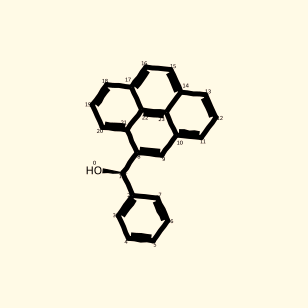 O[C@H](c1ccccc1)c1cc2cccc3ccc4cccc1c4c32